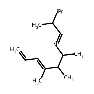 C=C/C=C(\C)C(C)C(C)/N=C/C(C)C(C)C